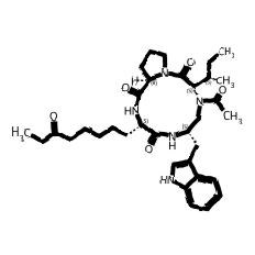 CCC(=O)CCCCC[C@@H]1NC(=O)[C@H]2CCCN2C(=O)[C@H]([C@@H](C)CC)N(C(C)=O)C[C@H](Cc2c[nH]c3ccccc23)NC1=O